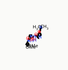 COc1ccc(CNC(=O)C(O)[C@@H]2CCCN2C(=O)CNC(=O)c2ccnc3ccc(OCCCN(C)C)cc23)cc1OC